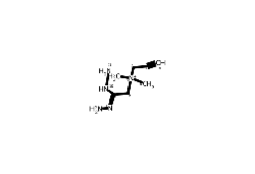 C#CC[N+](C)(C)C/C(=N/N)NN